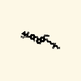 COc1cc2c(Oc3ccc(NC(=O)C4(C)CC4)cc3F)ccnc2cc1OCCCNC(=O)CS